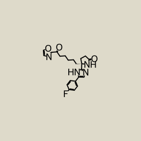 O=C1CC[C@](CCCCCC(=O)c2ncco2)(c2ncc(-c3ccc(F)cc3)[nH]2)N1